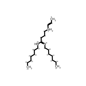 CC=C[SiH2]CCCC(=NCCCCCCC)NCCCCCCC